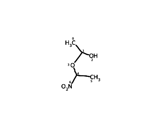 CC(O)OC(C)[N+](=O)[O-]